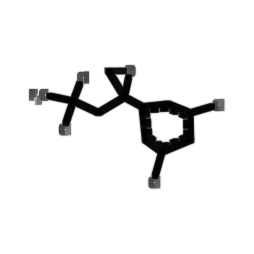 FC(F)(F)C(Cl)(Cl)CC1(c2cc(Cl)cc(Cl)c2)CO1